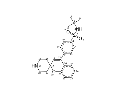 CC(C)(C)NS(=O)(=O)c1ccc(C2=CC3(CCNCC3)Oc3ccccc32)cc1